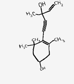 C=CC(C)(O)C#CC1=C(C)CC(O)CC1(C)C